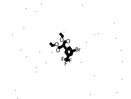 CCOC(=O)C(C(=O)OCC)c1cc(Br)cc(C(F)(F)F)c1